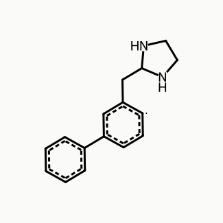 [c]1ccc(-c2ccccc2)cc1CC1NCCN1